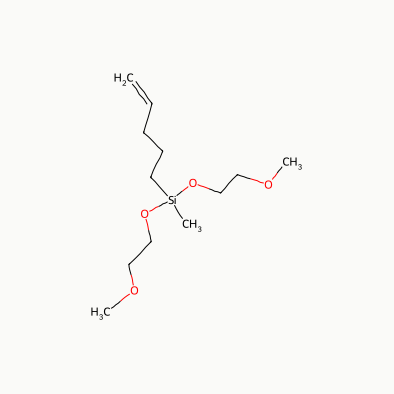 C=CCCC[Si](C)(OCCOC)OCCOC